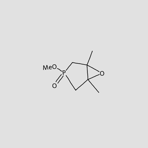 COP1(=O)CC2(C)OC2(C)C1